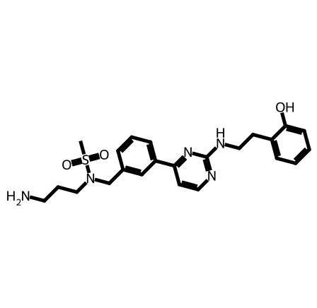 CS(=O)(=O)N(CCCN)Cc1cccc(-c2ccnc(NCCc3ccccc3O)n2)c1